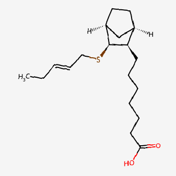 CCC=CCS[C@H]1[C@H]2CC[C@H](C2)[C@H]1CCCCCCC(=O)O